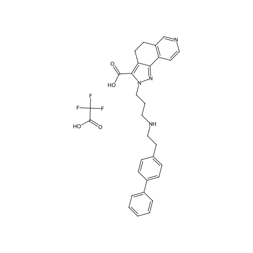 O=C(O)C(F)(F)F.O=C(O)c1c2c(nn1CCCNCCc1ccc(-c3ccccc3)cc1)-c1ccncc1CC2